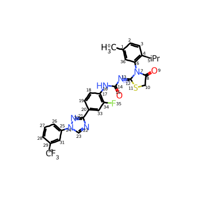 Cc1ccc(C(C)C)c(N2C(=O)CS/C2=N\C(=O)Nc2ccc(-c3ncn(-c4cccc(C(F)(F)F)c4)n3)cc2F)c1